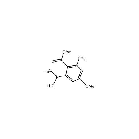 COC(=O)c1c(C)cc(OC)cc1N(C)C